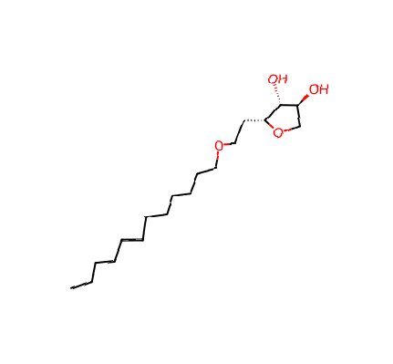 CCCCCCCCCCCCOCC[C@H]1OC[C@H](O)[C@H]1O